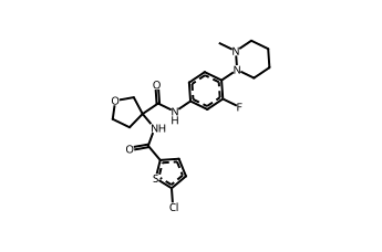 CN1CCCCN1c1ccc(NC(=O)C2(NC(=O)c3ccc(Cl)s3)CCOC2)cc1F